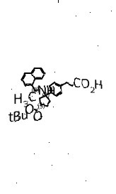 C[C@@H](N[C@]1(c2ccc(CCC(=O)O)cc2)CC[C@H](C(=O)OC(C)(C)C)C1)c1cccc2ccccc12